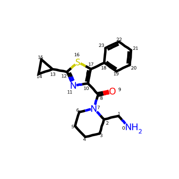 NCC1CCCCN1C(=O)c1nc(C2CC2)sc1-c1ccccc1